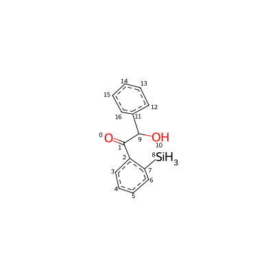 O=C(c1ccccc1[SiH3])C(O)c1ccccc1